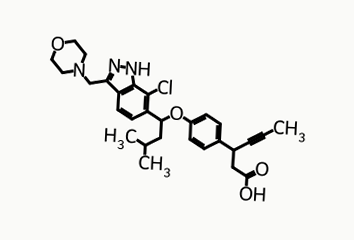 CC#CC(CC(=O)O)c1ccc(OC(CC(C)C)c2ccc3c(CN4CCOCC4)n[nH]c3c2Cl)cc1